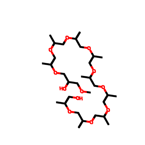 COCC(O)COC(C)COC(C)COC(C)COC(C)COC(C)COC(C)COC(C)COC(C)COC(C)CO